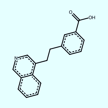 O=C(O)c1cccc(CCc2cncc3ccccc23)c1